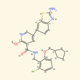 COc1ncc(-c2ccc3nc(N)sc3c2)cc1C(=O)NCc1c(F)cccc1OCC1CCCC1